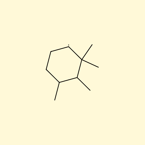 CC1CC[CH]C(C)(C)C1C